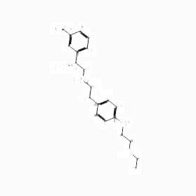 CCOCCOc1ccc(CCNC[C@H](O)c2cccc(Cl)c2)cc1